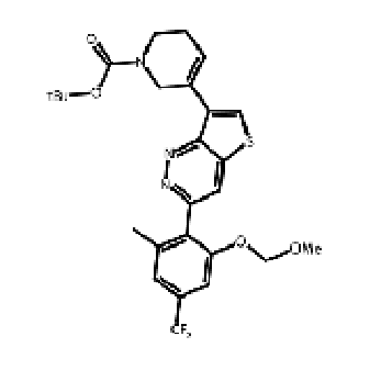 COCOc1cc(C(F)(F)F)cc(C)c1-c1cc2scc(C3=CCCN(C(=O)OC(C)(C)C)C3)c2nn1